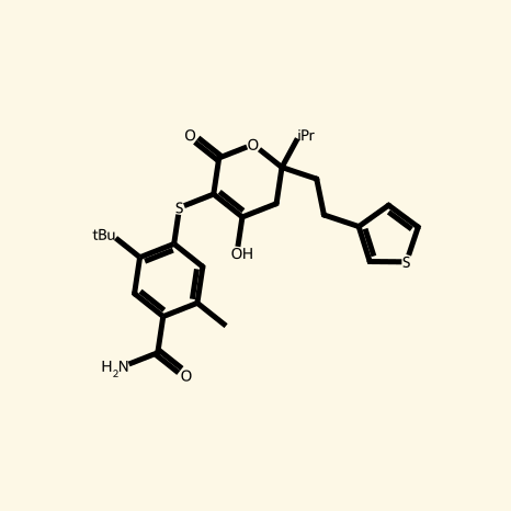 Cc1cc(SC2=C(O)CC(CCc3ccsc3)(C(C)C)OC2=O)c(C(C)(C)C)cc1C(N)=O